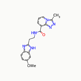 COc1ccc2nc(CCNC(=O)c3cccn4c(C)nnc34)[nH]c2c1